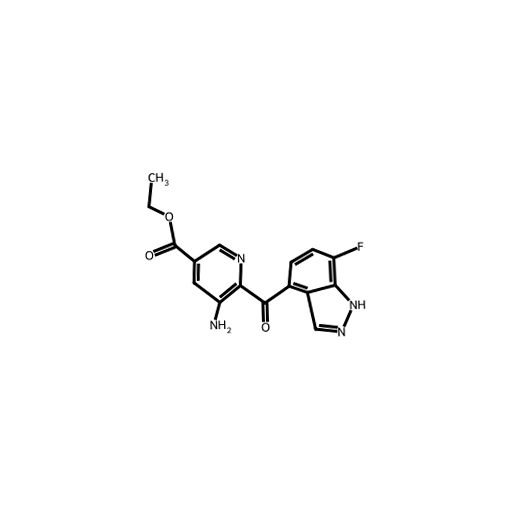 CCOC(=O)c1cnc(C(=O)c2ccc(F)c3[nH]ncc23)c(N)c1